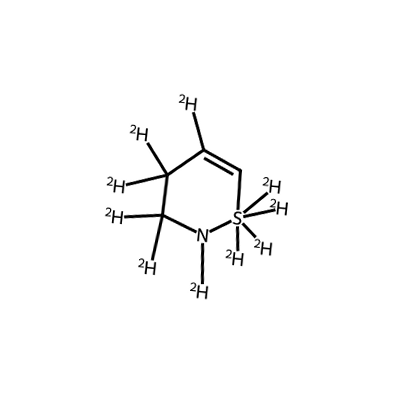 [2H]C1=CS([2H])([2H])([2H])([2H])N([2H])C([2H])([2H])C1([2H])[2H]